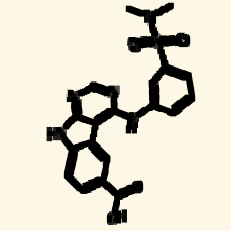 CN(C)S(=O)(=O)c1cccc(Nc2ncnc3[nH]c4ccc(C(=O)O)cc4c23)c1